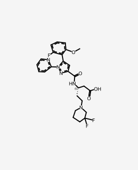 COc1cccc(F)c1-c1cc(C(=O)N[C@@H](CCN2CCCC(F)(F)C2)CC(=O)O)nn1-c1ccccn1